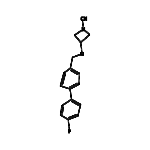 N#CN1CC(OCc2ccc(-c3ccc(F)cc3)cc2)C1